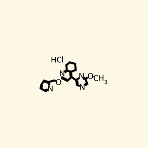 COc1cncc(-c2cc(OCc3ccccn3)nc3c2CCCC3)n1.Cl